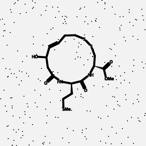 COC(=O)[C@H]1CSSCC/C=C/C(O)CC(=O)N[C@H](CCSC)C(=O)N1